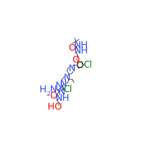 CC[C@H]1CN(c2nc(N)c(C(=O)NCCO)nc2Cl)CCN1C1CCN(Cc2ccc(Cl)cc2OCCNC(=O)NC(C)(C)C)CC1